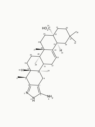 C[C@@H]1c2n[nH]c(N)c2C[C@]2(C)C3CC=C4[C@@H]5CC(C)(C)CC[C@]5(C(=O)O)CC[C@@]4(C)[C@]3(C)CC[C@@H]12